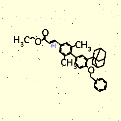 CCOC(=O)/C=C/c1cc(C)c(-c2ccc(OCc3ccccc3)c(C34CC5CC(CC(C5)C3)C4)c2)c(C)c1